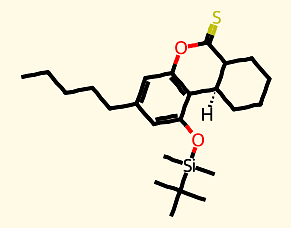 CCCCCc1cc2c(c(O[Si](C)(C)C(C)(C)C)c1)[C@@H]1CCCCC1C(=S)O2